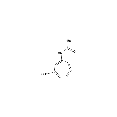 CC(C)(C)C(=O)NC1=CC(C=O)=CC=C=C1